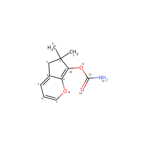 CC1(C)CC2=CC=COC2=C1OC(N)=O